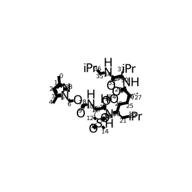 Cc1cc(C)n(COC(=O)N[C@@H](CS(C)(=O)=O)C(=O)N[C@H](CC(C)C)C(O)C[C@@H](C)C(=O)N[C@@H](C(=O)NCC(C)C)C(C)C)n1